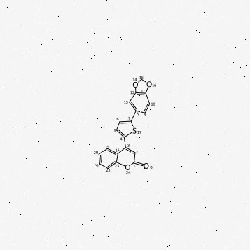 O=c1cc(-c2ccc(-c3ccc4c(c3)OCO4)s2)c2ccccc2o1